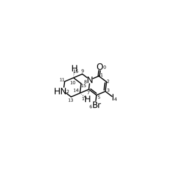 O=c1cc(I)c(Br)c2n1C[C@@H]1CNC[C@H]2C1